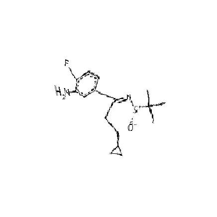 CC(C)(C)[S@+]([O-])N=C(CCC1CC1)c1ccc(F)c(N)c1